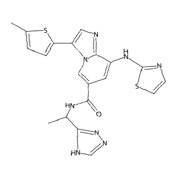 Cc1ccc(-c2cnc3c(Nc4nccs4)cc(C(=O)NC(C)c4nnc[nH]4)cn23)s1